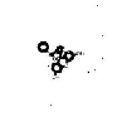 O=C1OC2(c3ccc(O)cc3Oc3cc(O)ccc32)c2ccccc21.c1ccccc1